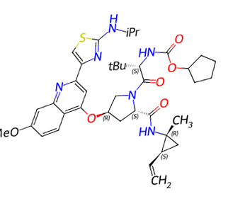 C=C[C@@H]1C[C@@]1(C)NC(=O)[C@@H]1C[C@@H](Oc2cc(-c3csc(NC(C)C)n3)nc3cc(OC)ccc23)CN1C(=O)[C@@H](NC(=O)OC1CCCC1)C(C)(C)C